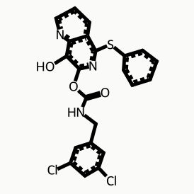 O=C(NCc1cc(Cl)cc(Cl)c1)Oc1nc(Sc2ccccc2)c2cccnc2c1O